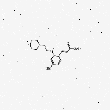 COC(=O)/C=C/c1ccc(C(C)(C)C)cc1OCCN1CCOCC1